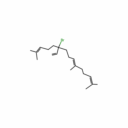 C=CC(Br)(CCC=C(C)C)CC/C=C(\C)CCC=C(C)C